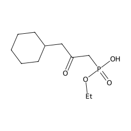 CCOP(=O)(O)CC(=O)CC1CCCCC1